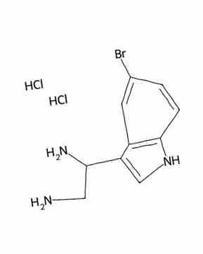 Cl.Cl.NCC(N)c1c[nH]c2ccc(Br)cc12